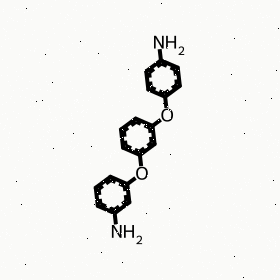 Nc1ccc(Oc2cccc(Oc3cccc(N)c3)c2)cc1